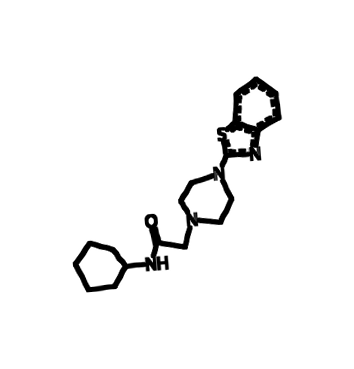 O=C(CN1CCN(c2nc3ccccc3s2)CC1)NC1CCCCC1